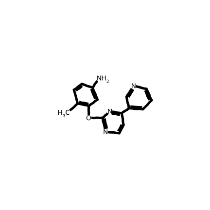 Cc1ccc(N)cc1Oc1nccc(-c2cccnc2)n1